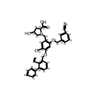 C=Cc1c(COc2cc(OCc3cccc(C#N)c3)c(CN3CC(O)CC3C(=O)O)cc2Cl)cccc1-c1ccccc1